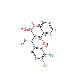 CC[C@@H](c1ccc(Cl)c(Cl)c1)c1c(O)c2ccccc2oc1=O